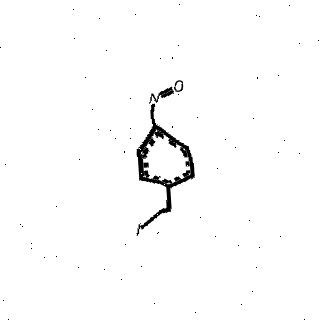 O=Nc1ccc(CI)cc1